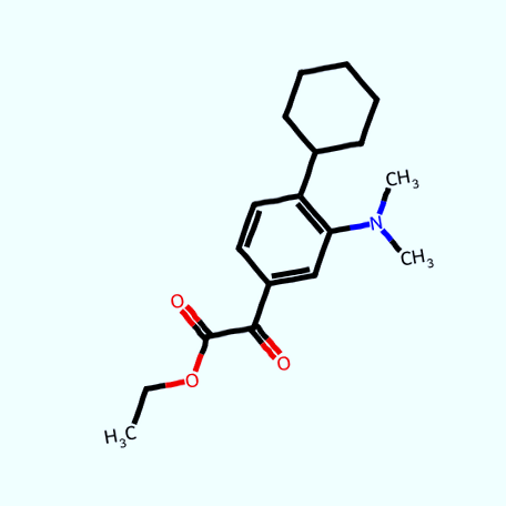 CCOC(=O)C(=O)c1ccc(C2CCCCC2)c(N(C)C)c1